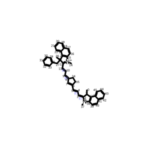 CC1/C(=C\C=C\C2=CC(=C/C=C/C3=[N+](C)c4ccc5ccccc5c4C3(C)Cc3ccccc3)/CC2)N(C)c2ccc3ccccc3c21